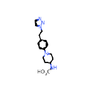 O=C(O)NC1CCN(c2ccc(CCn3ccnn3)cc2)CC1